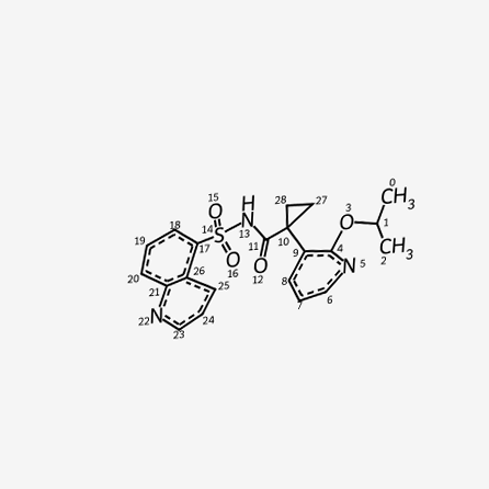 CC(C)Oc1ncccc1C1(C(=O)NS(=O)(=O)c2cccc3ncccc23)CC1